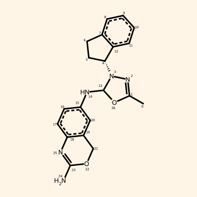 CC1=NN([C@@H]2CCc3ccccc32)C(Nc2ccc3c(c2)COC(N)=N3)O1